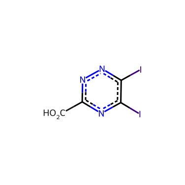 O=C(O)c1nnc(I)c(I)n1